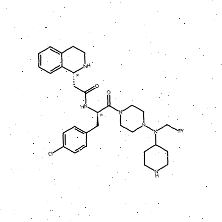 CC(C)CN(C1CCNCC1)N1CCN(C(=O)[C@@H](Cc2ccc(Cl)cc2)NC(=O)C[C@H]2NCCc3ccccc32)CC1